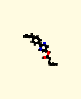 CCCCCCCCCCCCC(=O)Oc1cnc(-c2ccc(CCCCCCC)cc2)nc1